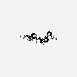 N/C=C(\O)c1ccnc(NC(=O)c2cnc3ccc(N4CCCC4C(F)(F)F)nn23)c1